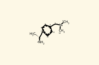 C[C@@H](N)c1ccc(CN(C)C)cc1